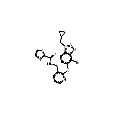 O=C(NCc1cccnc1Oc1ccc2c(nnn2CC2CC2)c1Br)c1ncco1